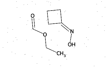 CCOC=O.ON=C1CCC1